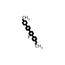 CCCc1ccc(-c2ccc(-c3ccc(C4CCC(CC)CC4)cc3)cc2F)cc1